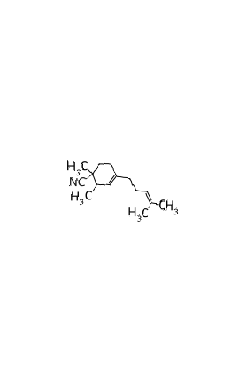 CC(C)=CCCC1=CC(C)C(C)(C#N)CC1